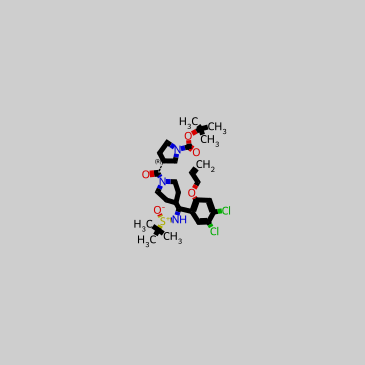 C=CCOc1cc(Cl)c(Cl)cc1C(N[S+]([O-])C(C)(C)C)C1CCN(C(=O)[C@@H]2CCN(C(=O)OC(C)(C)C)C2)CC1